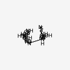 CNC(=O)c1c(F)cccc1Nc1nc(Nc2cc3c(cc2OC)CCN3C(=O)CN(C)C(=O)CCCCCCCCCCCC(=O)N[C@H](C(=O)N2C[C@H](O)C[C@H]2C(=O)NCc2ccc(-c3scnc3C)cc2)C(C)(C)C)nc2[nH]ccc12